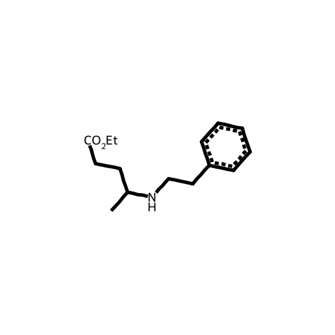 CCOC(=O)CCC(C)NCCc1ccccc1